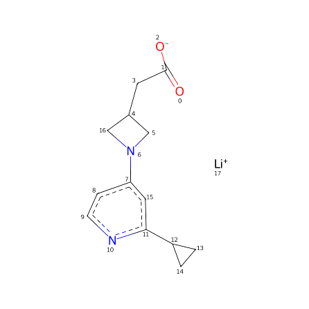 O=C([O-])CC1CN(c2ccnc(C3CC3)c2)C1.[Li+]